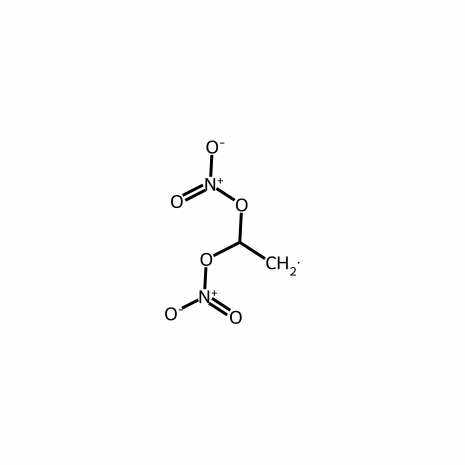 [CH2]C(O[N+](=O)[O-])O[N+](=O)[O-]